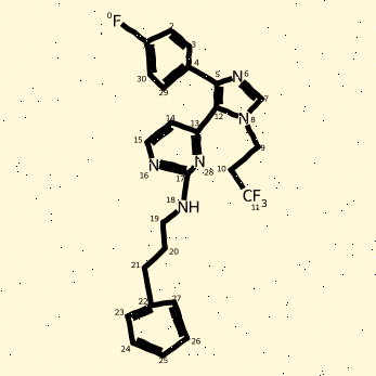 Fc1ccc(-c2ncn(CCC(F)(F)F)c2-c2ccnc(NCCCc3ccccc3)n2)cc1